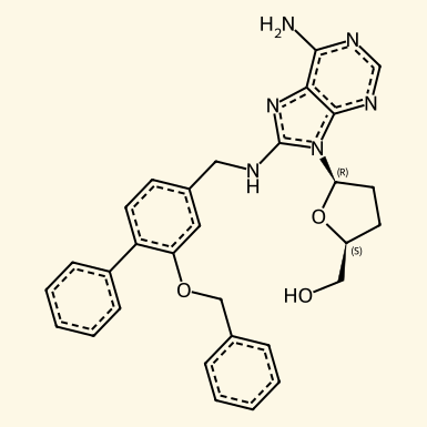 Nc1ncnc2c1nc(NCc1ccc(-c3ccccc3)c(OCc3ccccc3)c1)n2[C@H]1CC[C@@H](CO)O1